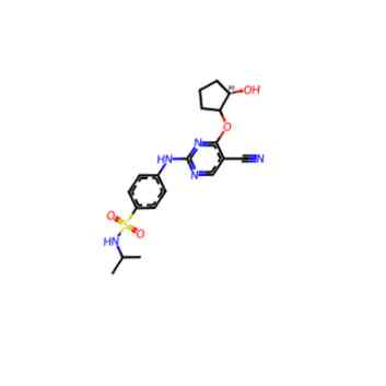 CC(C)NS(=O)(=O)c1ccc(Nc2ncc(C#N)c(OC3CCC[C@H]3O)n2)cc1